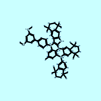 COc1cc(OC)cc(-c2ccc(N3c4cc(C)cc5c4B(c4cc6c(cc4N5c4ccc5c(c4)C(C)(C)CCC5(C)C)C(C)(C)CCC6(C)C)c4sc5cc6c(cc5c43)C(C)(C)CCC6(C)C)cc2)c1